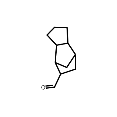 O=CC1CC2CC1C1CCCC21